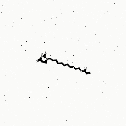 C=CC(=O)OCCCCCCCCCCCn1ccc(=S)[nH]c1=S